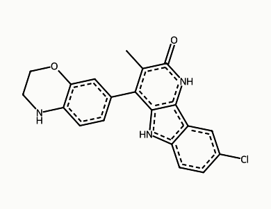 Cc1c(-c2ccc3c(c2)OCCN3)c2[nH]c3ccc(Cl)cc3c2[nH]c1=O